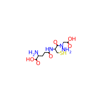 NC(CCC(=O)NC(CS)C(=O)N(N)CC(=O)O)C(=O)O